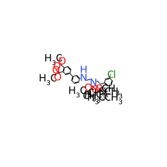 COC(=O)c1ccc(-c2cccc(NCCN(C[C@H](O[Si](C)(C)C(C)(C)C)c3cccc(Cl)c3)C(=O)OC(C)(C)C)c2)cc1C(=O)OC